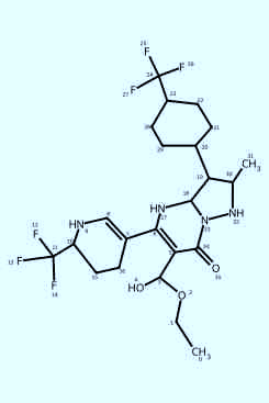 CCOC(O)C1=C(C2=CNC(C(F)(F)F)CC2)NC2C(C3CCC(C(F)(F)F)CC3)C(C)NN2C1=O